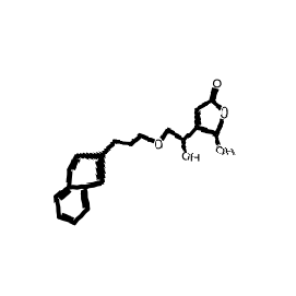 O=C1C=C(C(O)COCCCc2ccc3ccccc3c2)C(O)O1